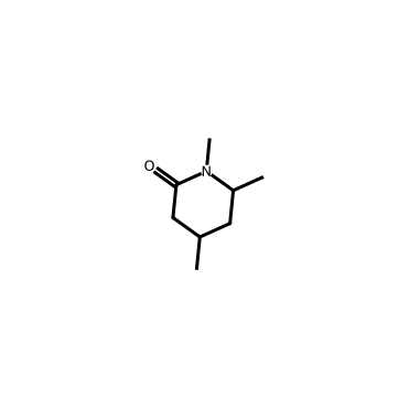 CC1CC(=O)N(C)C(C)C1